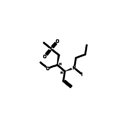 C=C[C@H]([C@H](CS(C)(=O)=O)OC)N(I)CCC